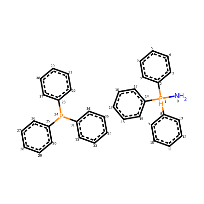 N[PH](c1ccccc1)(c1ccccc1)c1ccccc1.c1ccc(P(c2ccccc2)c2ccccc2)cc1